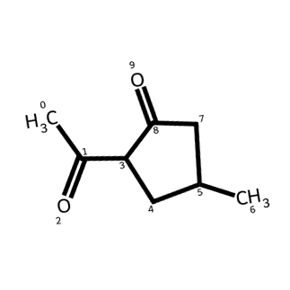 CC(=O)C1CC(C)CC1=O